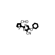 N#Cc1nc(-c2sccc2C=O)ncc1OC1CCCCC1